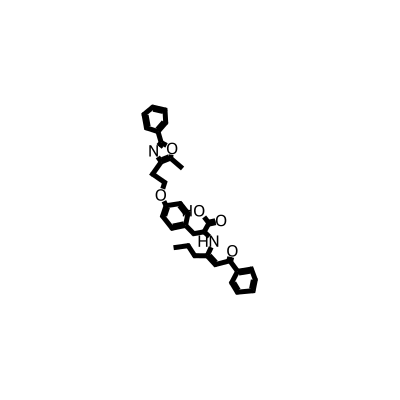 CCC/C(=C/C(=O)c1ccccc1)NC(Cc1ccc(OCCc2nc(-c3ccccc3)oc2C)cc1)C(=O)O